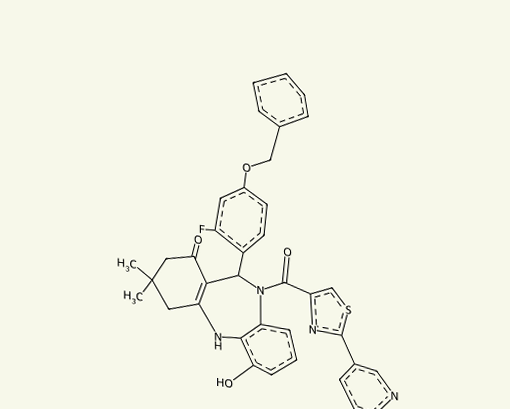 CC1(C)CC(=O)C2=C(C1)Nc1c(O)cccc1N(C(=O)c1csc(-c3cccnc3)n1)C2c1ccc(OCc2ccccc2)cc1F